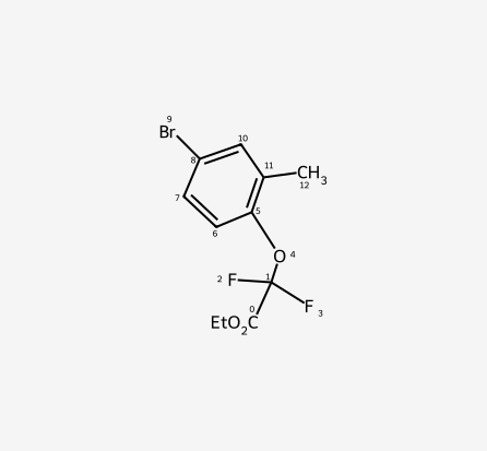 CCOC(=O)C(F)(F)Oc1ccc(Br)cc1C